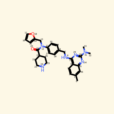 Cc1ccc2c(NCc3ccc(N(Cc4ccco4)C(=O)C4CCNCC4)cc3)nc(N(C)C)nc2c1